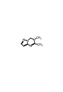 CC1=Nc2ccnn2CN1C